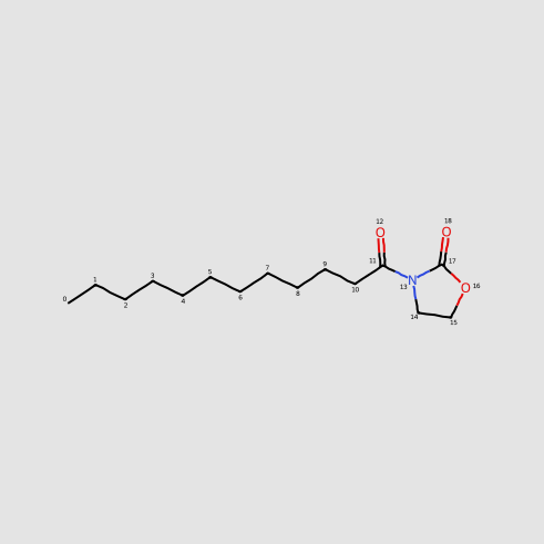 CCCCCCCCCCCC(=O)N1CCOC1=O